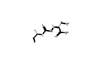 CC[C@H](C)OC(=O)NO[C@H](CO)C(=O)O